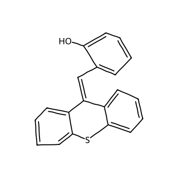 Oc1ccccc1C=C1c2ccccc2Sc2ccccc21